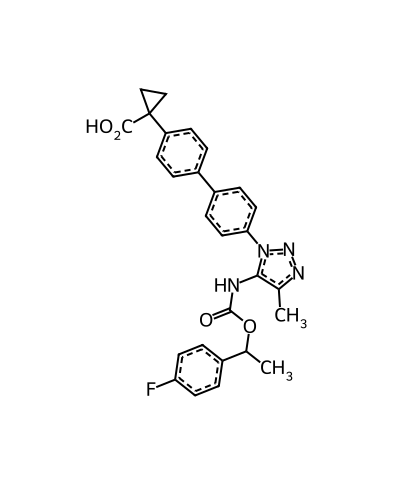 Cc1nnn(-c2ccc(-c3ccc(C4(C(=O)O)CC4)cc3)cc2)c1NC(=O)OC(C)c1ccc(F)cc1